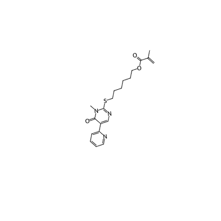 C=C(C)C(=O)OCCCCCCSc1ncc(-c2ccccn2)c(=O)n1C